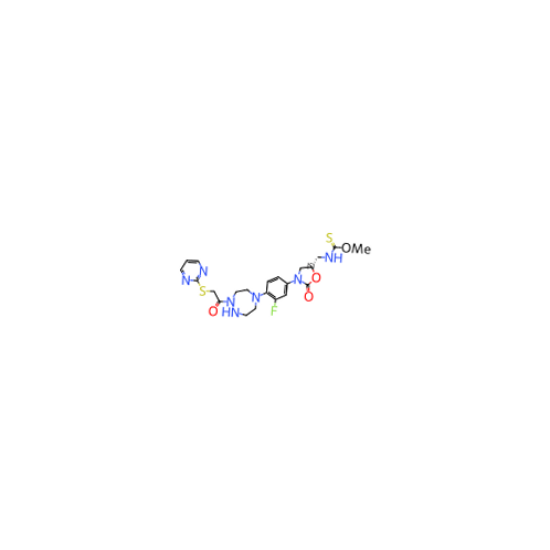 COC(=S)NC[C@H]1CN(c2ccc(N3CCNN(C(=O)CSc4ncccn4)CC3)c(F)c2)C(=O)O1